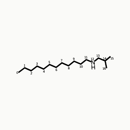 CCCCCCCCCCCCNCC(C)C